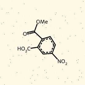 COC(=O)c1ccc([N+](=O)[O-])cc1C(=O)O